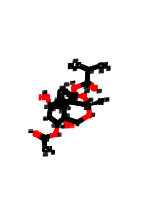 C=C1[C@@H]2OC[C@]3(O)[C@@H](OC(C)=O)C[C@@]1(O)[C@@H]3[C@H](OC(=O)C(C)C)O2